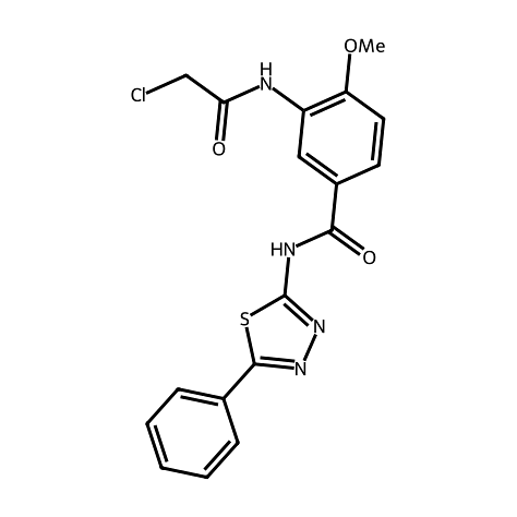 COc1ccc(C(=O)Nc2nnc(-c3ccccc3)s2)cc1NC(=O)CCl